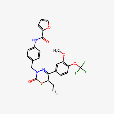 CCC1SC(=O)N(Cc2ccc(NC(=O)c3ccco3)cc2)N=C1c1ccc(OC(F)(F)F)c(OC)c1